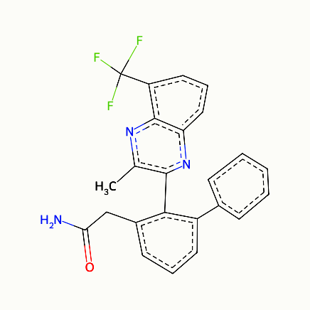 Cc1nc2c(C(F)(F)F)cccc2nc1-c1c(CC(N)=O)cccc1-c1ccccc1